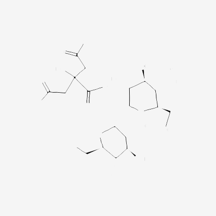 O=C([O-])CC(O)(CC(=O)[O-])C(=O)[O-].OC[C@H]1O[C@H](O[C@H]2O[C@H](CO)[C@@H](O)[C@H](O)[C@H]2O)[C@H](O)[C@@H](O)[C@@H]1O.[Fe+3]